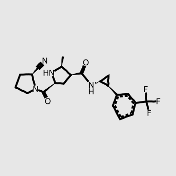 C[C@@H]1N[C@H](C(=O)N2CCC[C@H]2C#N)C[C@@H]1C(=O)N[C@@H]1C[C@H]1c1cccc(C(F)(F)F)c1